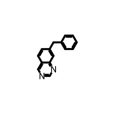 c1ccc(Cc2ccc3cncnc3c2)cc1